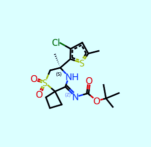 Cc1cc(Cl)c([C@]2(C)CS(=O)(=O)C3(CCC3)/C(=N/C(=O)OC(C)(C)C)N2)s1